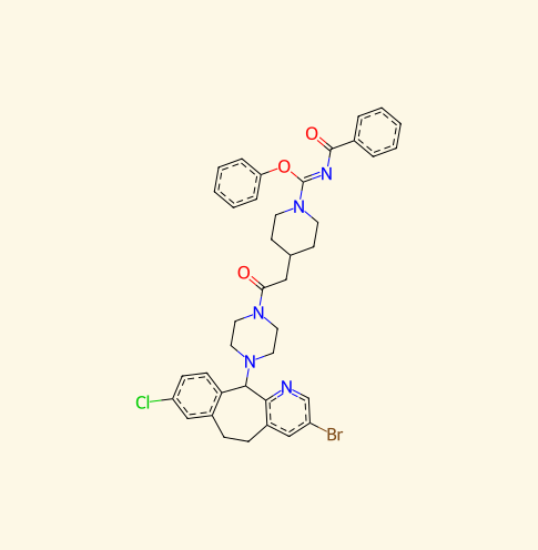 O=C(N=C(Oc1ccccc1)N1CCC(CC(=O)N2CCN(C3c4ccc(Cl)cc4CCc4cc(Br)cnc43)CC2)CC1)c1ccccc1